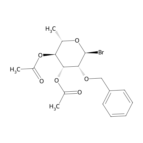 CC(=O)O[C@@H]1[C@@H](OC(C)=O)[C@H](C)O[C@@H](Br)[C@@H]1OCc1ccccc1